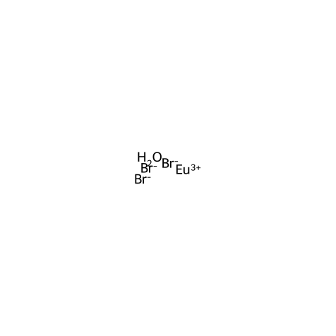 O.[Br-].[Br-].[Br-].[Eu+3]